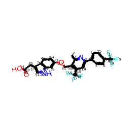 Cc1nc(-c2ccc(C(F)(F)F)cc2)cc(C(F)(F)F)c1COc1ccc2c(CC(=O)O)c[nH]c2c1